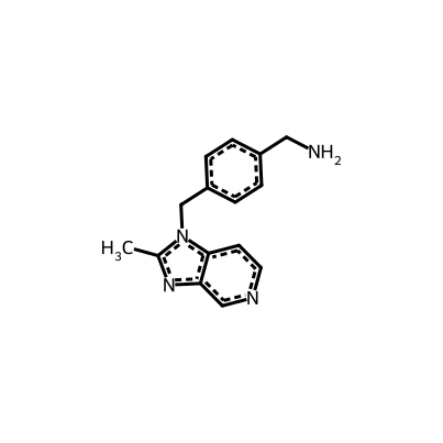 Cc1nc2cnccc2n1Cc1ccc(CN)cc1